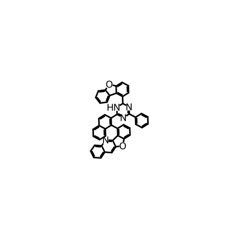 c1ccc(C2=NC(c3cccc4oc5ccccc5c34)NC(c3ccc4ccccc4c3-c3cccc4oc5cc6ccccc6nc5c34)=N2)cc1